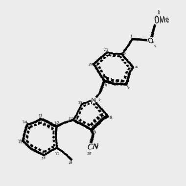 COOCc1ccc(-n2cc(C#N)c(-c3ccccc3C)c2)cc1